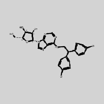 OC[C@H]1O[C@@H](n2cnc3c(NCC(c4ccc(Cl)cc4)c4ccc(Cl)cc4)ncnc32)[C@H](O)[C@@H]1O